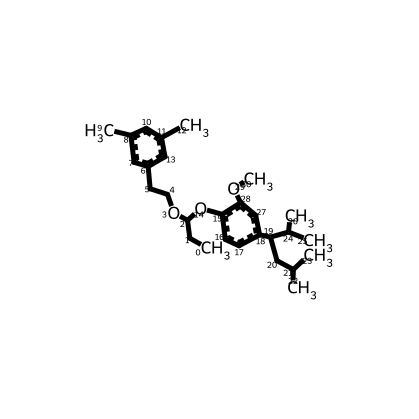 CCC(OCCc1cc(C)cc(C)c1)Oc1ccc(C(CC(C)C)C(C)C)cc1OC